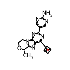 C[C@H]1OCCn2c1nc1c(N3CC4CC3C4)nc(-c3cnc(N)nc3)nc12